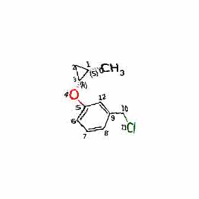 C[C@H]1C[C@H]1Oc1cccc(CCl)c1